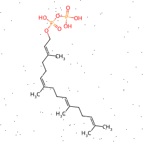 CC(C)=CCC/C(C)=C/CC/C(C)=C\CC/C(C)=C/COP(=O)(O)OP(=O)(O)O